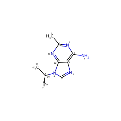 Cc1nc(N)c2ncn([C@H](C)C(C)C)c2n1